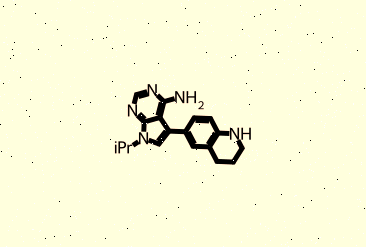 CC(C)n1cc(-c2ccc3c(c2)CCCN3)c2c(N)ncnc21